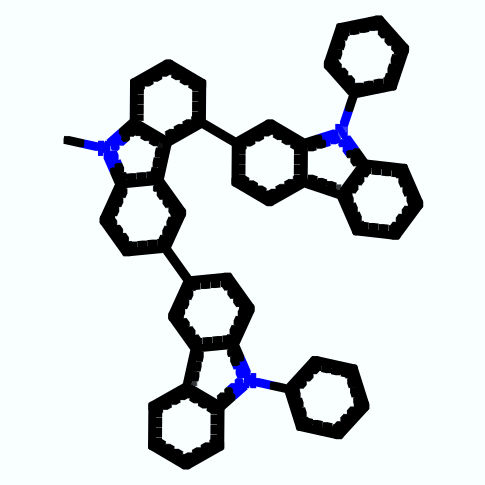 Cn1c2ccc(-c3ccc4c(c3)c3ccccc3n4-c3ccccc3)cc2c2c(-c3ccc4c5ccccc5n(-c5ccccc5)c4c3)cccc21